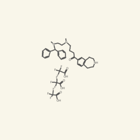 CN(CCCC(=O)c1ccc2c(c1)CCNCC2)CCN(C)C(c1ccccc1)c1ccccc1.O=C(O)C(F)(F)F.O=C(O)C(F)(F)F.O=C(O)C(F)(F)F